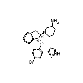 NC1CCCN([C@@H]2Cc3ccccc3[C@H]2Oc2ccc(Br)cc2-c2cc[nH]n2)C1